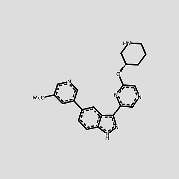 COc1cncc(-c2ccc3[nH]nc(-c4cncc(O[C@@H]5CCCNC5)n4)c3c2)c1